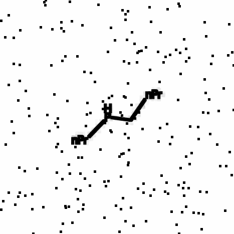 CCCCPCCC